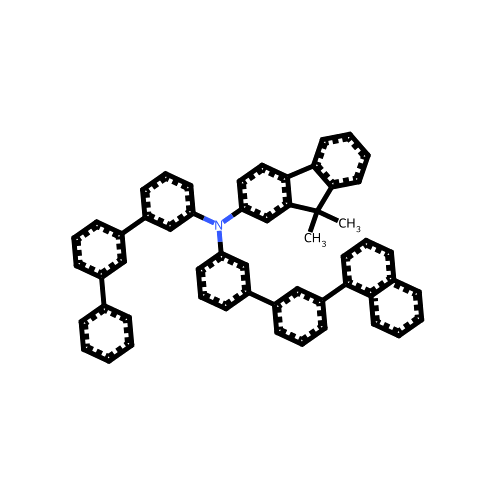 CC1(C)c2ccccc2-c2ccc(N(c3cccc(-c4cccc(-c5ccccc5)c4)c3)c3cccc(-c4cccc(-c5cccc6ccccc56)c4)c3)cc21